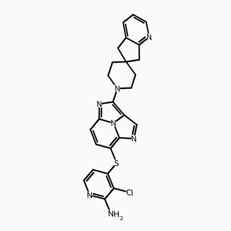 Nc1nccc(Sc2ccc3nc(N4CCC5(CC4)Cc4cccnc4C5)c4cnc2n34)c1Cl